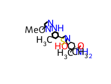 COc1ccnc(Nc2cc(C)cc(-c3cnc([C@@]4(O)CC[C@H](C(N)=O)C(C)(C)C4)s3)c2)n1